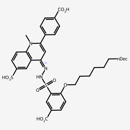 CCCCCCCCCCCCCCCCOc1ccc(C(=O)O)cc1S(=O)(=O)N/N=c1/cc(-c2ccc(C(=O)O)cc2)n(C)c2ccc(S(=O)(=O)O)cc12